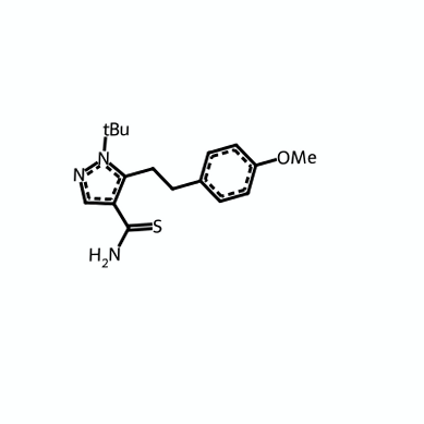 COc1ccc(CCc2c(C(N)=S)cnn2C(C)(C)C)cc1